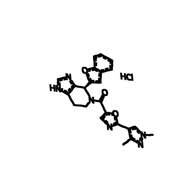 Cc1nn(C)cc1-c1ncc(C(=O)N2CCc3[nH]cnc3[C@H]2c2cc3ccccc3o2)o1.Cl